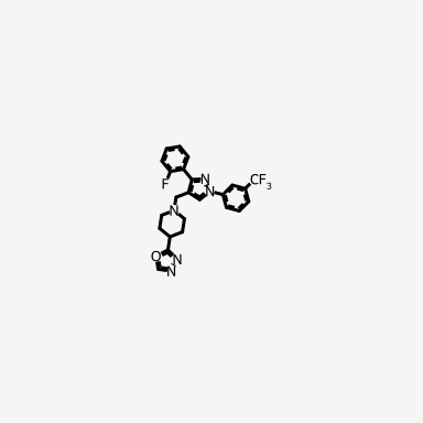 Fc1ccccc1-c1nn(-c2cccc(C(F)(F)F)c2)cc1CN1CCC(c2nnco2)CC1